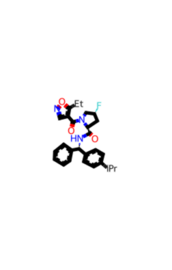 CCc1oncc1C(=O)N1C[C@H](F)C[C@H]1C(=O)N[C@@H](c1ccccc1)c1ccc(C(C)C)cc1